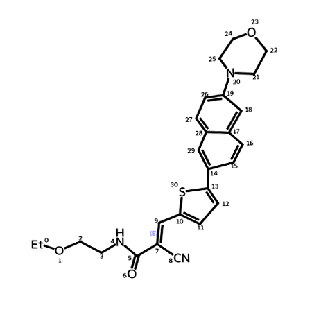 CCOCCNC(=O)/C(C#N)=C/c1ccc(-c2ccc3cc(N4CCOCC4)ccc3c2)s1